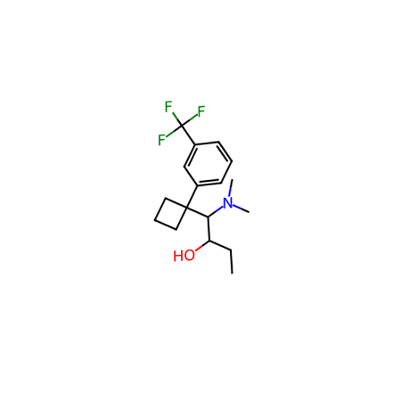 CCC(O)C(N(C)C)C1(c2cccc(C(F)(F)F)c2)CCC1